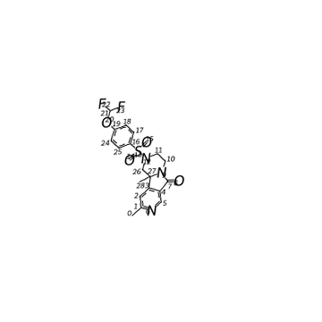 Cc1cc2c(cn1)C(=O)N1CCN(S(=O)(=O)c3ccc(OC(F)F)cc3)CC21C